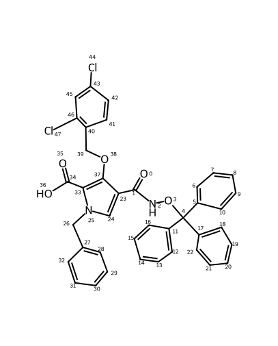 O=C(NOC(c1ccccc1)(c1ccccc1)c1ccccc1)c1cn(Cc2ccccc2)c(C(=O)O)c1OCc1ccc(Cl)cc1Cl